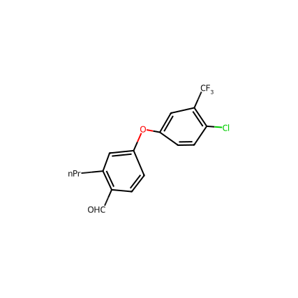 CCCc1cc(Oc2ccc(Cl)c(C(F)(F)F)c2)ccc1C=O